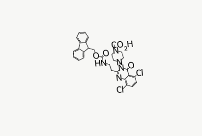 O=C(NCCc1nc2c(Cl)ccc(Cl)c2c(=O)n1N1CCN(C(=O)O)CC1)OCC1c2ccccc2-c2ccccc21